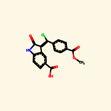 COC(=O)c1ccc(/C(Cl)=C2/C(=O)Nc3ccc(C(=O)O)cc32)cc1